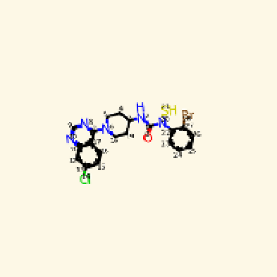 O=C(NC1CCN(c2ncnc3cc(Cl)ccc23)CC1)N(S)c1ccccc1Br